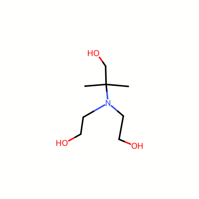 CC(C)(CO)N(CCO)CCO